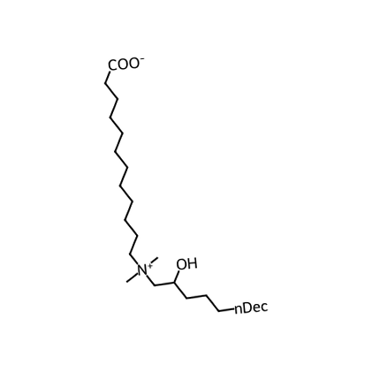 CCCCCCCCCCCCCC(O)C[N+](C)(C)CCCCCCCCCCCC(=O)[O-]